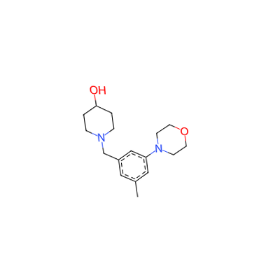 Cc1cc(CN2CCC(O)CC2)cc(N2CCOCC2)c1